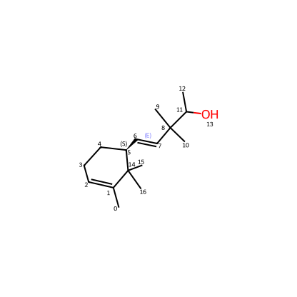 CC1=CCC[C@@H](/C=C/C(C)(C)C(C)O)C1(C)C